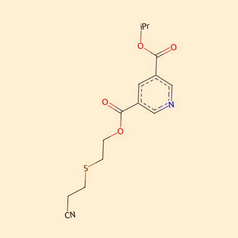 CC(C)OC(=O)c1cncc(C(=O)OCCSCCC#N)c1